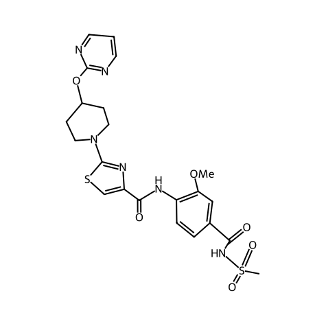 COc1cc(C(=O)NS(C)(=O)=O)ccc1NC(=O)c1csc(N2CCC(Oc3ncccn3)CC2)n1